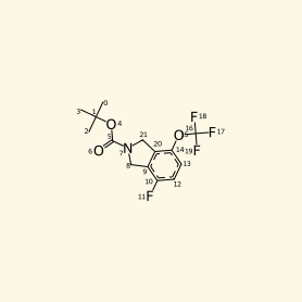 CC(C)(C)OC(=O)N1Cc2c(F)ccc(OC(F)(F)F)c2C1